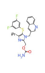 CC(C)c1nc(COC(N)=O)n(Cc2cnc3ccccc3c2)c1Sc1cc(F)cc(F)c1